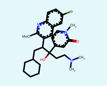 COc1nc2ccc(Br)cc2cc1C(CC1CCCCC1)C(O)(CCN(C)C)c1ccn(C)c(=O)c1